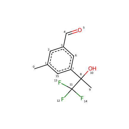 Cc1cc(C=O)cc(C(C)(O)C(F)(F)F)c1